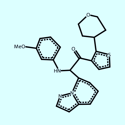 COc1cccc(NC(C(=O)c2ccsc2C2CCOCC2)c2cccc3ccnn23)c1